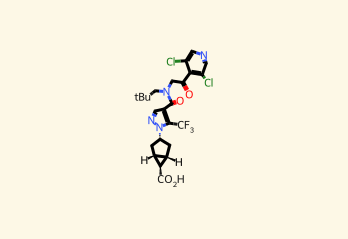 CC(C)(C)CN(CC(=O)c1c(Cl)cncc1Cl)C(=O)c1cnn([C@H]2C[C@@H]3[C@H](C2)[C@H]3C(=O)O)c1C(F)(F)F